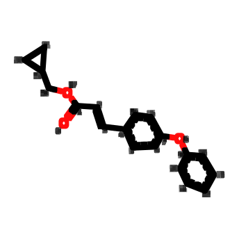 O=C(/C=C/c1ccc(Oc2ccccc2)cc1)OCC1CC1